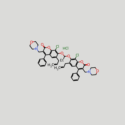 C=CCc1cc2c(-c3ccccc3)c(CN3CCOCC3)c(=O)oc2c(Cl)c1OC(CC)Oc1c(CC=C)cc2c(-c3ccccc3)c(CN3CCOCC3)c(=O)oc2c1Cl.Cl